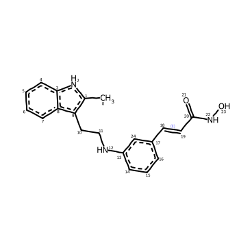 Cc1[nH]c2ccccc2c1CCNc1cccc(/C=C/C(=O)NO)c1